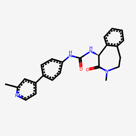 Cc1cc(-c2ccc(NC(=O)N[C@@H]3C(=O)N(C)CCc4ccccc43)cc2)ccn1